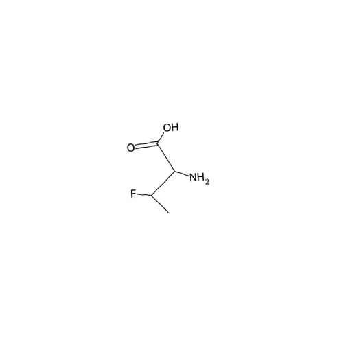 CC(F)C(N)C(=O)O